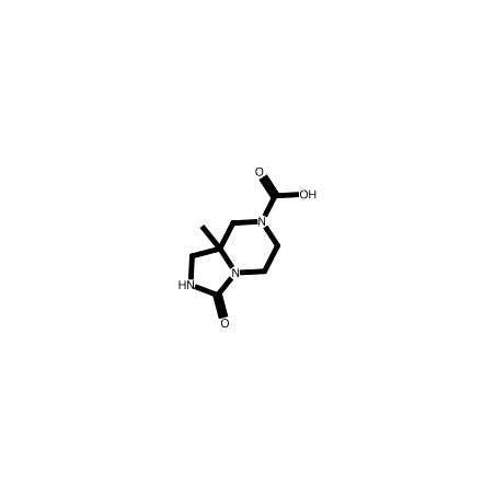 CC12CNC(=O)N1CCN(C(=O)O)C2